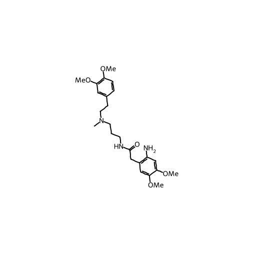 COc1ccc(CCN(C)CCCNC(=O)Cc2cc(OC)c(OC)cc2N)cc1OC